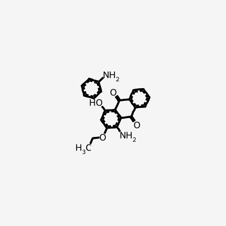 CCOc1cc(O)c2c(c1N)C(=O)c1ccccc1C2=O.Nc1ccccc1